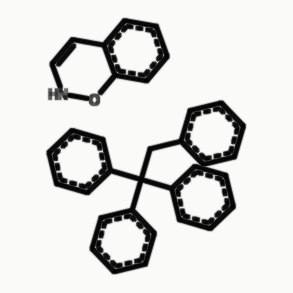 C1=Cc2ccccc2ON1.c1ccc(CC(c2ccccc2)(c2ccccc2)c2ccccc2)cc1